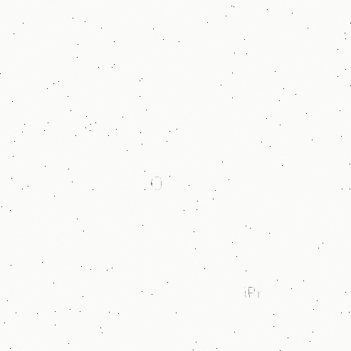 CC(C)CCc1cc2ccccc2o1